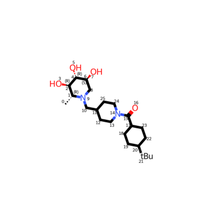 C[C@@H]1[C@@H](O)[C@H](O)[C@@H](O)CN1CC1CCN(C(=O)C2CCC(C(C)(C)C)CC2)CC1